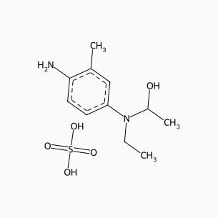 CCN(c1ccc(N)c(C)c1)C(C)O.O=S(=O)(O)O